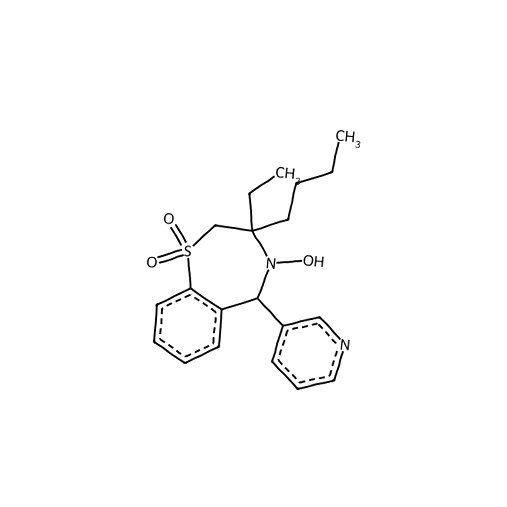 CCCCC1(CC)CS(=O)(=O)c2ccccc2C(c2cccnc2)N1O